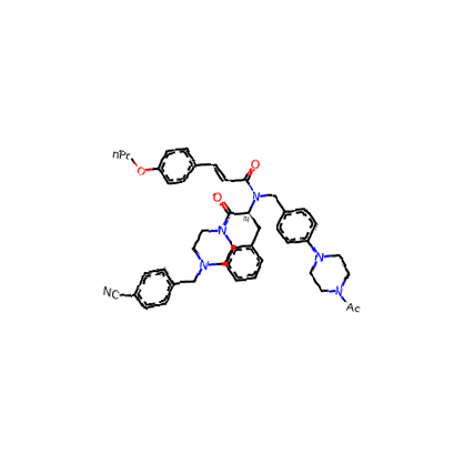 CCCOc1ccc(C=CC(=O)N(Cc2ccc(N3CCN(C(C)=O)CC3)cc2)[C@@H](Cc2ccccc2)C(=O)N2CCN(Cc3ccc(C#N)cc3)CC2)cc1